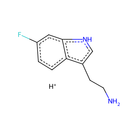 NCCc1c[nH]c2cc(F)ccc12.[H+]